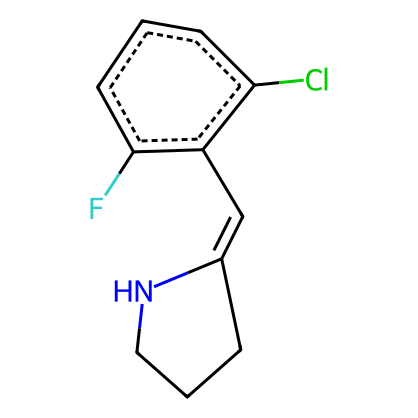 Fc1cccc(Cl)c1C=C1CCCN1